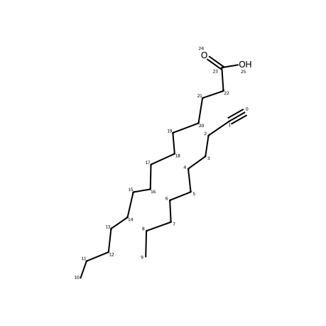 C#CCCCCCCCC.CCCCCCCCCCCCCC(=O)O